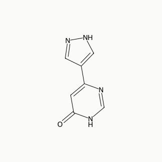 O=c1cc(-c2cn[nH]c2)nc[nH]1